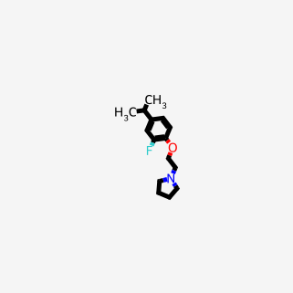 CC(C)c1ccc(OCCN2CCCC2)c(F)c1